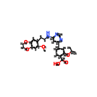 COc1cc2c(cc1CCNc1cc(-c3ccc(C(=O)O)c(OC(C)C)c3)ncn1)OCCO2